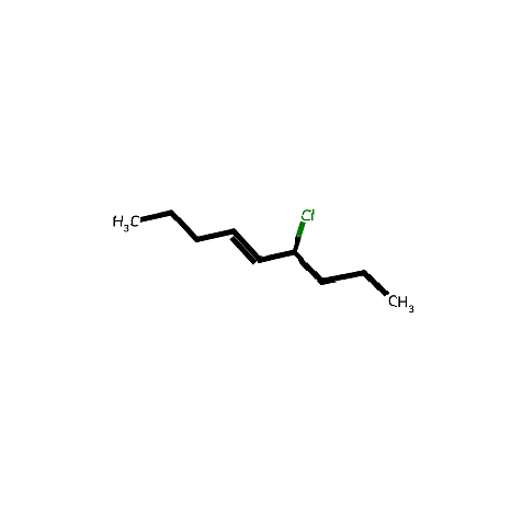 CCC/C=C/C(Cl)CCC